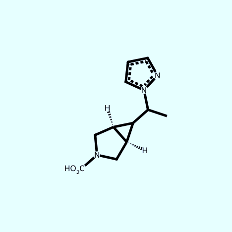 CC(C1[C@H]2CN(C(=O)O)C[C@@H]12)n1cccn1